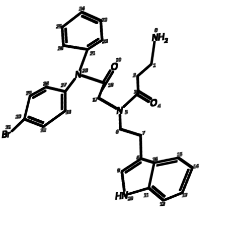 NCCC(=O)N(CCc1c[nH]c2ccccc12)CC(=O)N(c1ccccc1)c1ccc(Br)cc1